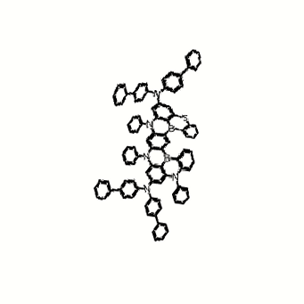 c1ccc(-c2ccc(N(c3ccc(-c4ccccc4)cc3)c3cc4c5c(c3)N(c3ccccc3)c3cc6c(cc3B5c3ccccc3S4)B3c4ccccc4N(c4ccccc4)c4cc(N(c5ccc(-c7ccccc7)cc5)c5ccc(-c7ccccc7)cc5)cc(c43)N6c3ccccc3)cc2)cc1